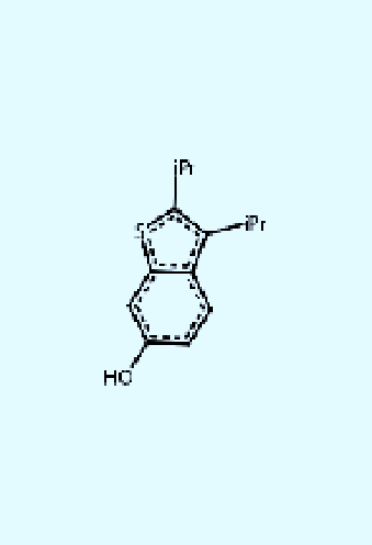 CC(C)c1sc2cc(O)ccc2c1C(C)C